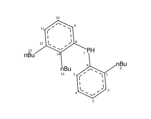 CCCCc1ccccc1Pc1cccc(CCCC)c1CCCC